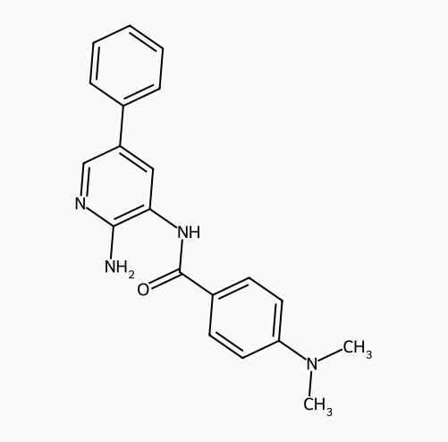 CN(C)c1ccc(C(=O)Nc2cc(-c3ccccc3)cnc2N)cc1